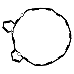 C1=CC=CC=CC=CC=CCOC=C2C=CC=CN2C=CC2=CC=CC(=CC=CC=CC=CC=C1)O2